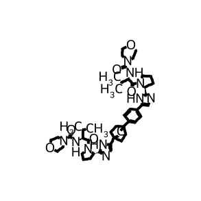 CC(C)[C@H](NC(=O)N1CCOCC1)C(=O)N1CCC[C@H]1c1ncc(-c2ccc(C34CCC(c5cnc([C@@H]6CCCN6C(=O)[C@@H](NC(=O)N6CCOCC6)C(C)C)[nH]5)(CC3)CC4)cc2)[nH]1